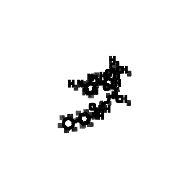 CN(CCCNC(=O)Nc1ccc(C2CCCCC2)cc1)C[C@H]1O[C@@H](n2cnc3c(N)ncnc32)[C@@H]2OC(C)(C)O[C@@H]21